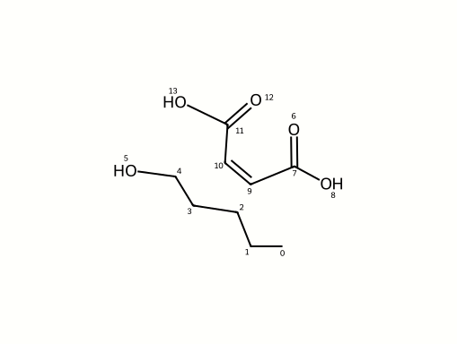 CCCCCO.O=C(O)/C=C\C(=O)O